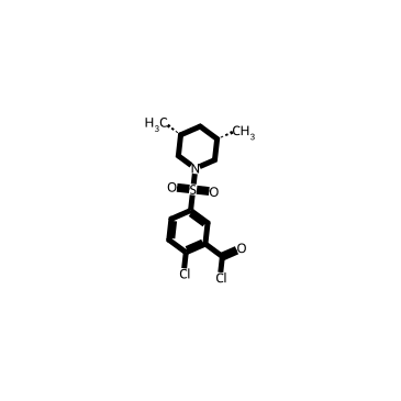 C[C@@H]1C[C@H](C)CN(S(=O)(=O)c2ccc(Cl)c(C(=O)Cl)c2)C1